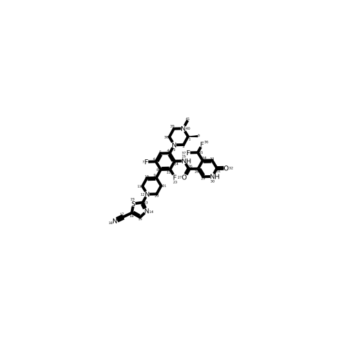 C[C@H]1CN(c2cc(F)c(C3=CCN(c4ncc(C#N)s4)CC3)c(F)c2NC(=O)c2c[nH]c(=O)cc2C(F)F)CCN1C